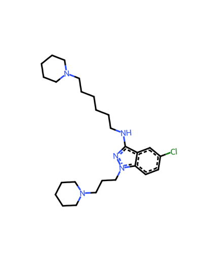 Clc1ccc2c(c1)c(NCCCCCCN1CCCCC1)nn2CCCN1CCCCC1